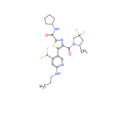 CCCNc1cc(C(F)F)c(-c2sc(C(=O)NC3CCCC3)nc2C(=O)N2CC(F)(F)CC2C)cn1